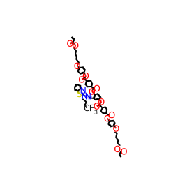 C=CC(=O)OCCCCCCOc1ccc(OC(=O)C2CCC(C(=O)Oc3ccc(OC(=O)C4CCC(C(=O)Oc5ccc(OCCCCCCOC(=O)C=C)cc5)CC4)c(/C=N/N(CCCC(F)(F)F)c4nc5ccccc5s4)c3)CC2)cc1